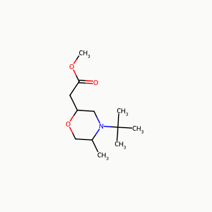 COC(=O)CC1CN(C(C)(C)C)C(C)CO1